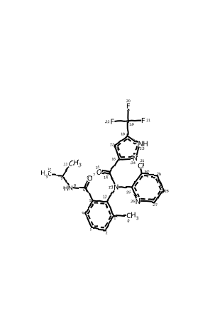 Cc1cccc(C(=O)NC(C)C)c1N(C(=O)c1cc(C(F)(F)F)[nH]n1)c1ncccc1Cl